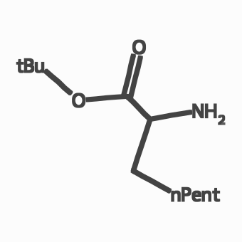 CCCCCCC(N)C(=O)OC(C)(C)C